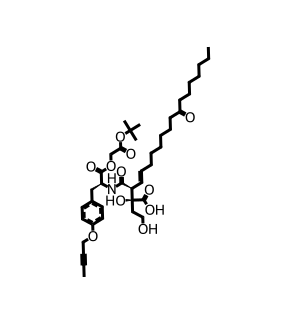 CC#CCOc1ccc(C[C@H](NC(=O)[C@@H](/C=C/CCCCCCC(=O)CCCCCCC)[C@@](O)(CCO)C(=O)O)C(=O)OCC(=O)OC(C)(C)C)cc1